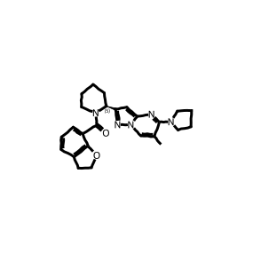 Cc1cn2nc([C@@H]3CCCCN3C(=O)c3cccc4c3OCC4)cc2nc1N1CCCC1